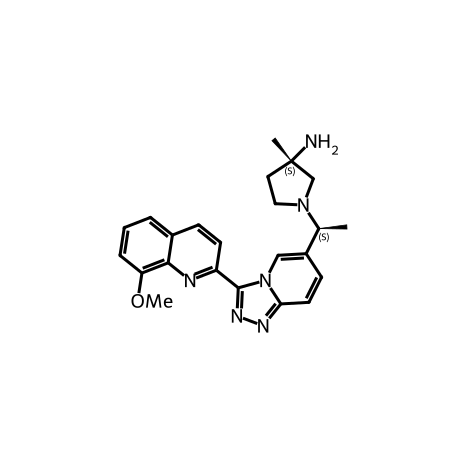 COc1cccc2ccc(-c3nnc4ccc([C@H](C)N5CC[C@](C)(N)C5)cn34)nc12